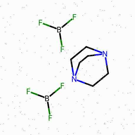 C1CN2CCN1CC2.FB(F)F.FB(F)F